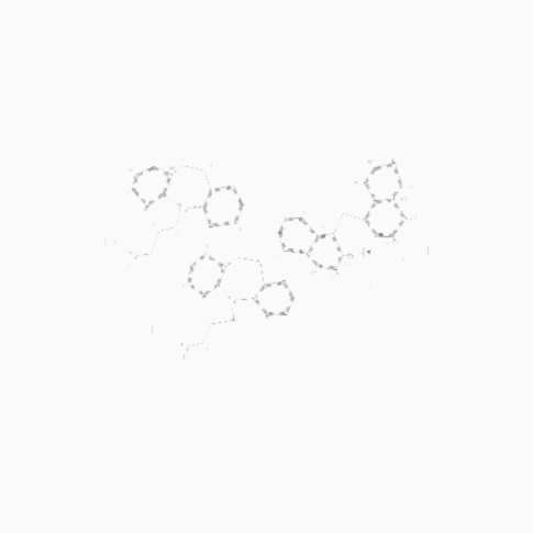 CN(C)CCCN1c2ccccc2CCc2ccccc21.CN(C)CCCN1c2ccccc2CCc2ccccc21.O=C(O)c1cc2ccccc2c(Cc2c(O)c(C(=O)O)cc3ccccc23)c1O